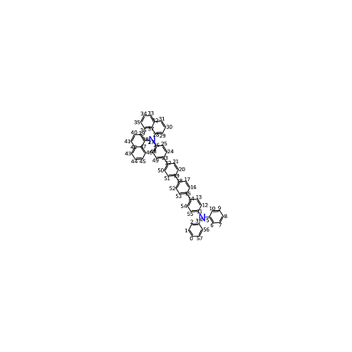 c1ccc(N(c2ccccc2)c2ccc(-c3ccc(-c4ccc(-c5ccc(N(c6cccc7ccccc67)c6cccc7ccccc67)cc5)cc4)cc3)cc2)cc1